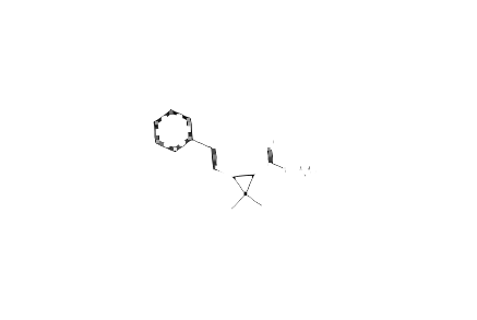 COC(=O)[C@H]1[C@H](C=Cc2ccccc2)C1(C)C